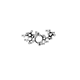 C[C@H](O)[C@@H](O[C@H]1COP(=O)(O)OC[C@H]2O[C@@H](n3cnc4c(=O)[nH]c(N)nc43)[C@@H](O)C2OP(=O)(O)OC1)n1cnc2c(=O)[nH]c(N)nc21